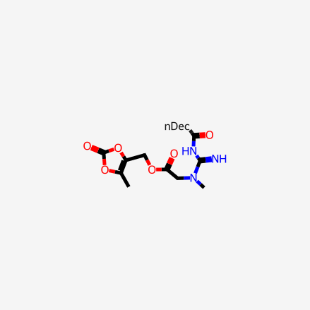 CCCCCCCCCCC(=O)NC(=N)N(C)CC(=O)OCc1oc(=O)oc1C